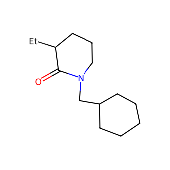 [CH2]CC1CCCN(CC2CCCCC2)C1=O